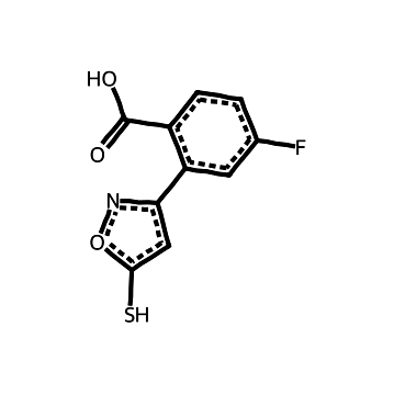 O=C(O)c1ccc(F)cc1-c1cc(S)on1